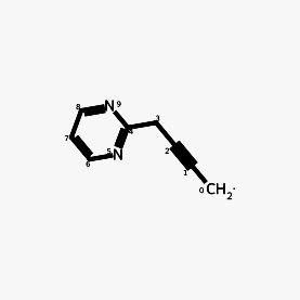 [CH2]C#CCc1ncccn1